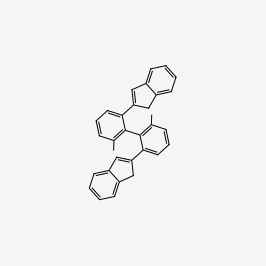 Cc1cccc(C2=Cc3ccccc3C2)c1-c1c(C)cccc1C1=Cc2ccccc2C1